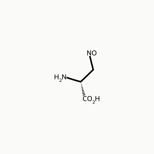 N[C@H](CN=O)C(=O)O